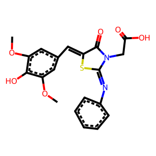 COc1cc(/C=C2\S/C(=N\c3ccccc3)N(CC(=O)O)C2=O)cc(OC)c1O